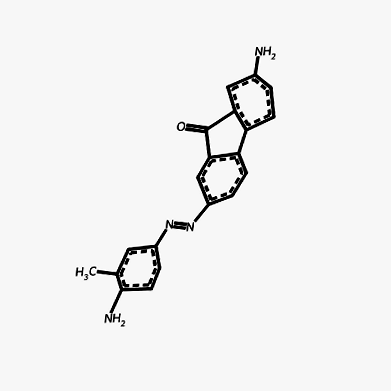 Cc1cc(N=Nc2ccc3c(c2)C(=O)c2cc(N)ccc2-3)ccc1N